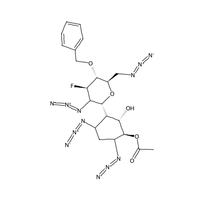 CC(=O)O[C@H]1C(N=[N+]=[N-])CC(N=[N+]=[N-])C([C@H]2O[C@H](CN=[N+]=[N-])[C@@H](OCc3ccccc3)[C@H](F)C2N=[N+]=[N-])[C@@H]1O